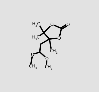 COC(CC1(C)OC(=O)OC1(C)C)OC